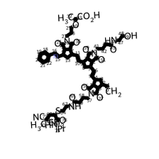 C=CC1CC(C=CC2CC(C=CC3CC(/C=C/c4ccccc4)C4C(=O)N(CCCOC(C)C(=O)O)C(=O)C34)C3C(=O)N(CCCC(=O)NCCO)C(=O)C23)C2C(=O)N(CCCC(=O)NCCSC(CC(C)(C)C#N)C(=O)NC(C)C)C(=O)C12